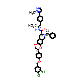 CC[C@@H](c1ccccc1)N1Cc2cc3c(cc2C[C@H]1C(=O)N[C@@H](Cc1ccc(-c2ccnn2C)cc1)C(=O)O)OC[C@H](c1ccc(OCc2ccc(Cl)c(Cl)c2)cc1)O3